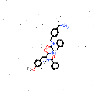 CCOc1ccc(CC(NC(=O)c2ccccc2)C(=O)N[C@@H](Cc2ccccc2)C(=O)NCc2ccc(CN)cc2)cc1